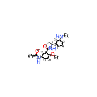 CCNc1cccc(C(C)NC(=O)c2cc(NC(=O)C(C)C)ccc2OCC)c1